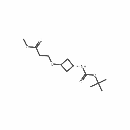 COC(=O)CCO[C@H]1C[C@H](NC(=O)OC(C)(C)C)C1